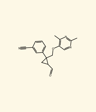 Cc1ncc(OCC2(c3cccc(C#N)c3)CC2C=O)c(C)n1